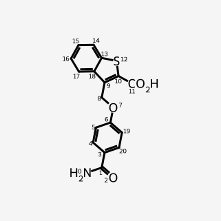 NC(=O)c1ccc(OCc2c(C(=O)O)sc3ccccc23)cc1